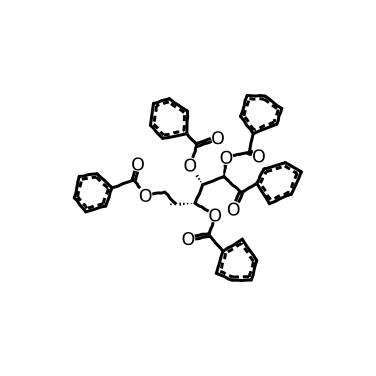 O=C(OC[CH][C@@H](OC(=O)c1ccccc1)[C@H](OC(=O)c1ccccc1)[C@@H](OC(=O)c1ccccc1)C(=O)c1ccccc1)c1ccccc1